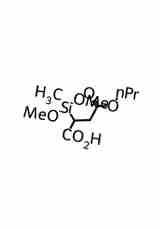 CCCOC(=O)CC(C(=O)O)[Si](C)(OC)OC